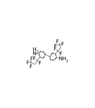 Nc1ccc(-c2ccc(N)c(C(F)(F)CC(F)(F)F)c2)cc1C(F)(F)CC(F)(F)F